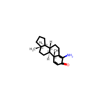 C[C@@]12CCC[C@H]1[C@@H]1CCC3=C(N)C(=O)C=C[C@]3(C)[C@H]1CC2